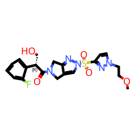 COCCn1ccc(S(=O)(=O)n2cc3c(n2)CN(C(=O)[C@@H](CO)c2ccccc2F)C3)n1